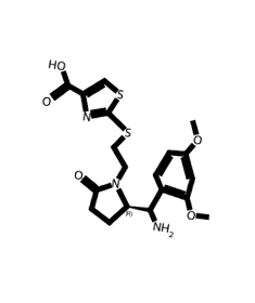 COc1ccc(C(N)[C@H]2CCC(=O)N2CCSc2nc(C(=O)O)cs2)c(OC)c1